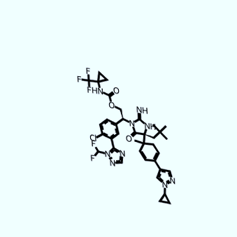 CC(C)(C)C[C@]1(C2(C)C=CC(c3cnn(C4CC4)c3)=CC2)NC(=N)N([C@H](COC(=O)NC2(C(F)(F)F)CC2)c2ccc(Cl)c(-c3ncnn3C(F)F)c2)C1=O